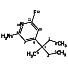 CCC(C)(CC)c1cc(N)nc(F)c1